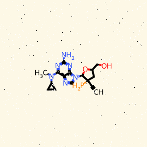 C#C[C@@]1(P)CC(CO)OC1n1cnc2c(N(C)C3CC3)nc(N)nc21